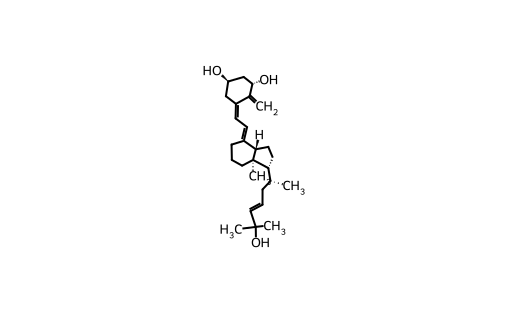 C=C1/C(=C\C=C2/CCC[C@]3(C)[C@@H]([C@H](C)C/C=C/C(C)(C)O)CC[C@@H]23)C[C@@H](O)C[C@@H]1O